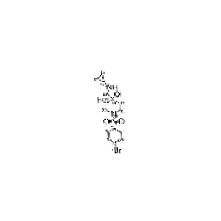 O=S(=O)(c1ccc(Br)cc1)N1CCC(O)(CNC2CC2)C(F)C1